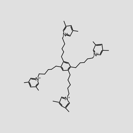 Cc1cc(C)c[n+](CCCCCc2cc(CCCCC[n+]3cc(C)cc(C)c3)c(CCCCC[n+]3cc(C)cc(C)c3)cc2CCCCC[n+]2cc(C)cc(C)c2)c1